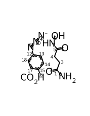 NC(=O)CCC(=O)NO.[N-]=[N+]=Nc1ccc(C(=O)O)cc1